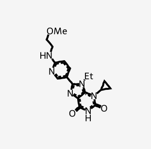 CCn1c(-c2ccc(NCCOC)nc2)nc2c(=O)[nH]c(=O)n(C3CC3)c21